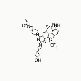 C=CC(=O)N1CC2(CCN(c3nc(N4CC(N5CC(O)C5)C4)nc4c(OCC(F)(F)F)c(-c5c(C)ccc6[nH]ncc56)c(C5CC5)cc34)CC2)C1